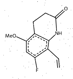 C=Cc1c(F)cc(OC)c2c1NC(=O)CC2